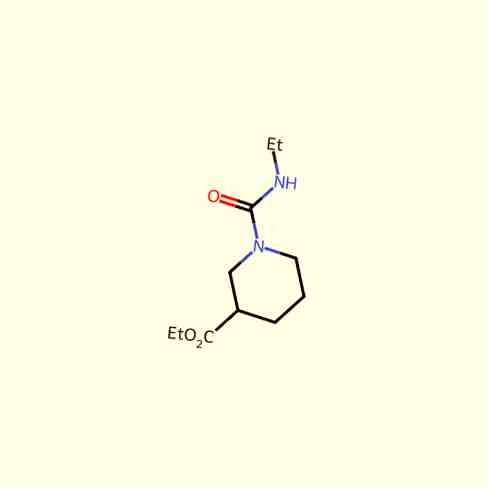 CCNC(=O)N1CCCC(C(=O)OCC)C1